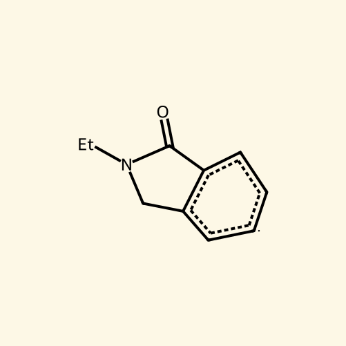 CCN1Cc2c[c]ccc2C1=O